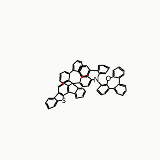 c1ccc(-c2ccccc2N(c2ccc3c(c2)-c2ccccc2-c2ccccc2C32c3ccccc3-c3c2ccc2c3sc3ccccc32)c2cccc3c2Oc2ccccc2-c2ccccc2-3)cc1